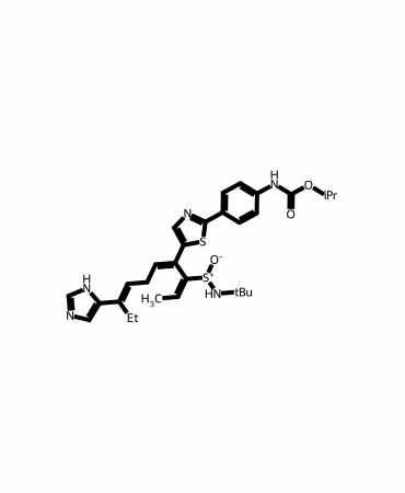 C/C=C(\C(=C/C/C=C(\CC)c1cnc[nH]1)c1cnc(-c2ccc(NC(=O)OC(C)C)cc2)s1)[S+]([O-])NC(C)(C)C